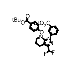 CCOC(=O)c1cccc(-n2nc(C(F)F)c3c2N(Oc2ccc(C(=O)OC(C)(C)C)cc2)CCC3)c1